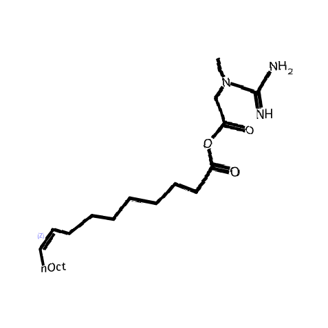 CCCCCCCC/C=C\CCCCCCCC(=O)OC(=O)CN(C)C(=N)N